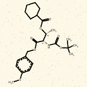 COc1ccc(COC(=O)[C@@H](NC(=O)OC(C)(C)C)[C@@H](C)OC(=O)C2CCCCC2)cc1